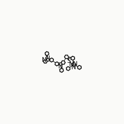 c1ccc(-c2nc(-c3ccccc3)nc(-c3cccc4c3sc3c(-c5ccc6c(c5)c5cc(-c7ccc8c(c7)c7cccnc7n8-c7ccccc7)ccc5n6-c5ccccc5)cccc34)n2)cc1